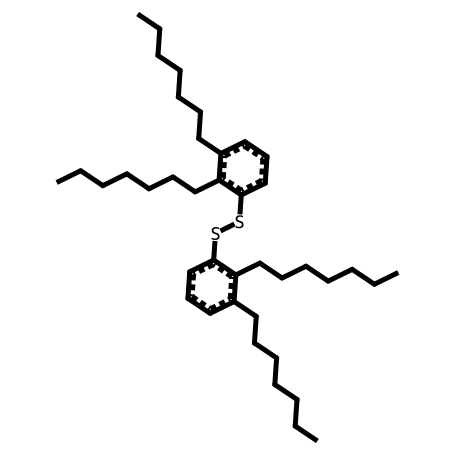 CCCCCCCc1cccc(SSc2cccc(CCCCCCC)c2CCCCCCC)c1CCCCCCC